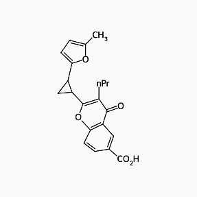 CCCc1c(C2CC2c2ccc(C)o2)oc2ccc(C(=O)O)cc2c1=O